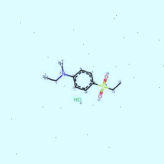 Cl.[2H]CN([2H])c1ccc(S(=O)(=O)CC)cc1